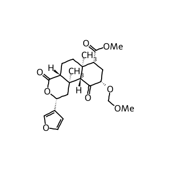 COCO[C@H]1C[C@@H](C(=O)OC)[C@]2(C)CC[C@H]3C(=O)O[C@@H](c4ccoc4)C[C@]3(C)[C@H]2C1=O